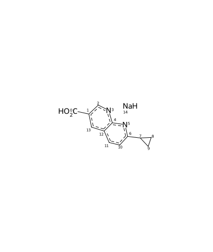 O=C(O)c1cnc2nc(C3CC3)ccc2c1.[NaH]